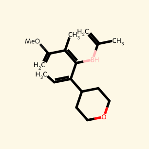 C=C(C)BC(/C(=C\C)C1CCOCC1)=C(\C)C(=C)OC